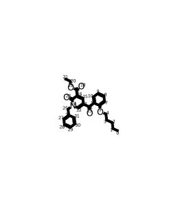 CCCCCOc1ccccc1C(=O)c1cc(C(=O)OCC)c(=O)n(Cc2ccccc2)c1